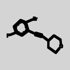 Fc1ccc(Br)c(C#CC2CCOCC2)c1